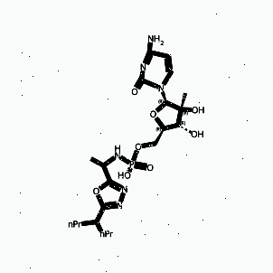 CCCC(CCC)c1nnc(C(C)NP(=O)(O)OC[C@H]2O[C@@H](n3ccc(N)nc3=O)[C@](C)(O)[C@@H]2O)o1